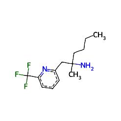 CCCCC(C)(N)Cc1cccc(C(F)(F)F)n1